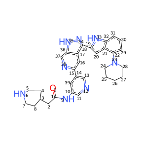 O=C(CC1CCNCC1)Nc1cncc(-c2cc3c(-c4cc5c(N6CCCCC6)cccc5[nH]4)n[nH]c3cn2)c1